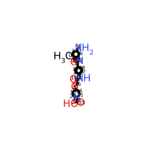 Cc1cc(N)cc2nc(-c3ccc(NC(=O)COC4CCN(C(=O)O)CC4)cc3)oc12